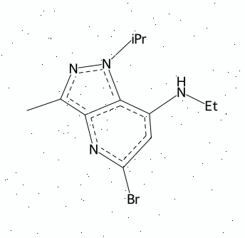 CCNc1cc(Br)nc2c(C)nn(C(C)C)c12